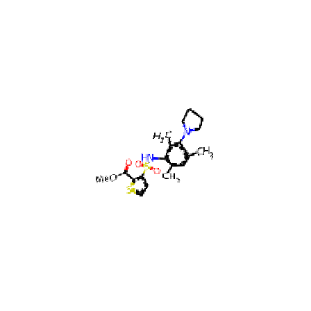 COC(=O)c1sccc1S(=O)(=O)Nc1c(C)cc(C)c(N2CCCC2)c1C